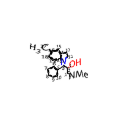 CNCC(O)C(c1ccccc1)n1ccc2cc(C)ccc21